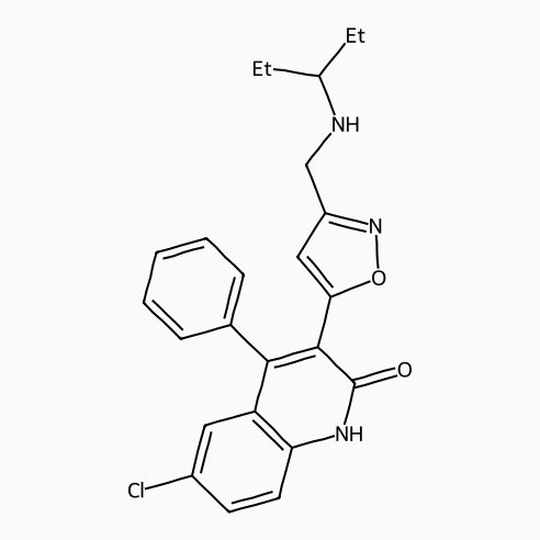 CCC(CC)NCc1cc(-c2c(-c3ccccc3)c3cc(Cl)ccc3[nH]c2=O)on1